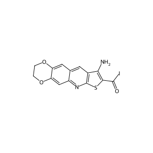 Nc1c(C(=O)I)sc2nc3cc4c(cc3cc12)OCCO4